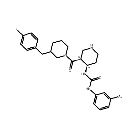 CC(=O)c1cccc(NC(=O)N[C@@H]2CCNC[C@@H]2C(=O)N2CCCC(Cc3ccc(F)cc3)C2)c1